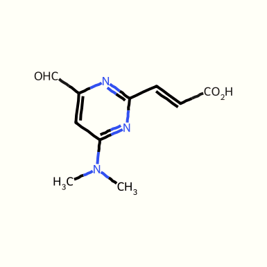 CN(C)c1cc(C=O)nc(C=CC(=O)O)n1